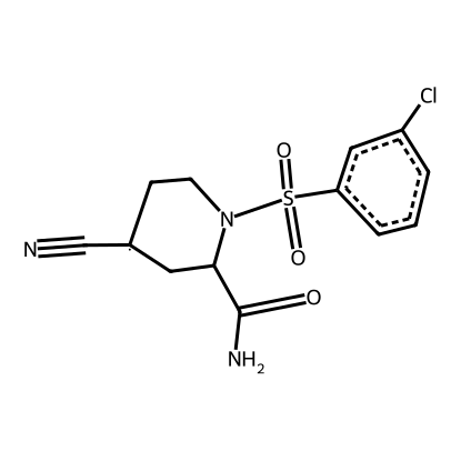 N#C[C]1CCN(S(=O)(=O)c2cccc(Cl)c2)C(C(N)=O)C1